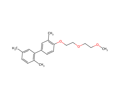 COCCOCCOc1ccc(-c2cc(C)ccc2C)cc1C